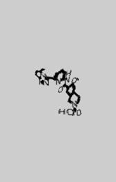 COc1cc2c(cc1C(=O)Nc1cccc(-c3nnc4n3C(C)CC4)n1)CN(C(=O)O)CC2